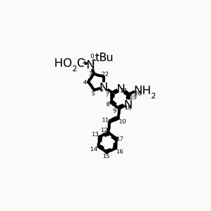 CC(C)(C)N(C(=O)O)C1CCN(c2cc(C=Cc3ccccc3)nc(N)n2)C1